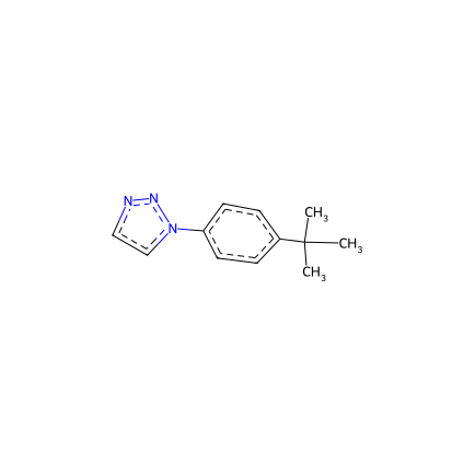 CC(C)(C)c1ccc(-n2ccnn2)cc1